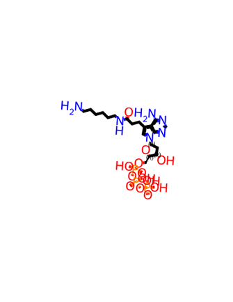 NCCCCCCNC(=O)CCc1cn([C@H]2C[C@@H](O)[C@@H](COP(=O)(O)OP(=O)(O)OP(=O)(O)O)O2)c2ncnc(N)c12